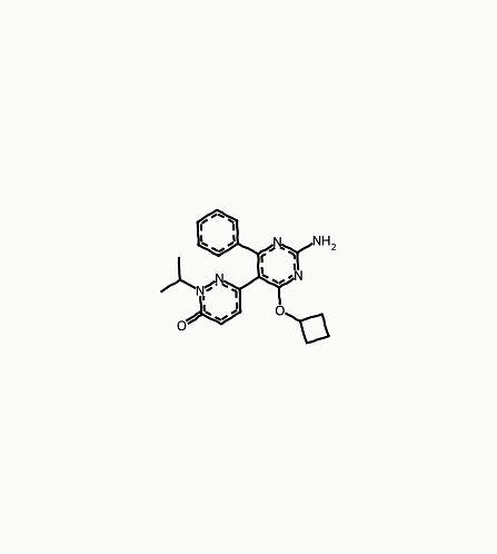 CC(C)n1nc(-c2c(OC3CCC3)nc(N)nc2-c2ccccc2)ccc1=O